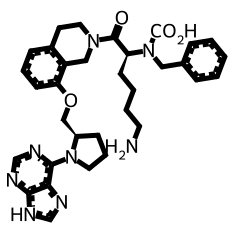 NCCCC[C@@H](C(=O)N1CCc2cccc(OC[C@H]3CCCN3c3ncnc4[nH]cnc34)c2C1)N(Cc1ccccc1)C(=O)O